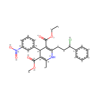 CCOC(=O)C1=C(CCC(Cl)c2ccccc2)NC(C)=C(C(=O)OC)C1c1cccc([N+](=O)[O-])c1